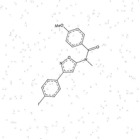 COc1ccc(C(=O)N(C)c2cc(-c3ccc(I)cc3)no2)cc1